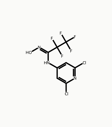 O/N=C(\Nc1cc(Cl)nc(Cl)c1)C(F)(F)C(F)(F)F